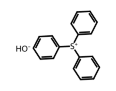 [OH-].c1ccc([S+](c2ccccc2)c2ccccc2)cc1